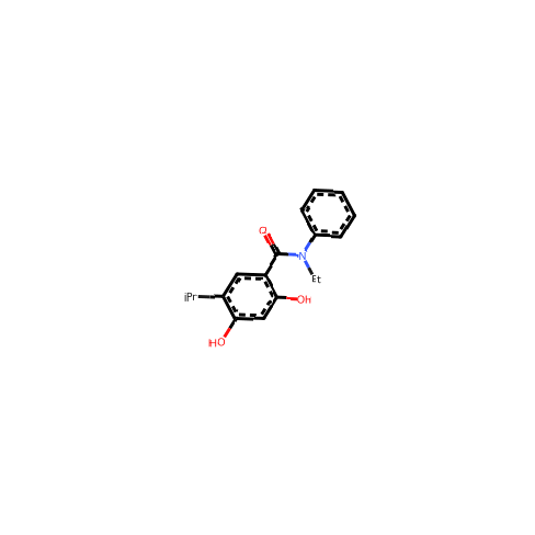 CCN(C(=O)c1cc(C(C)C)c(O)cc1O)c1ccccc1